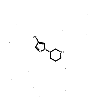 CC(=O)c1cnn(C2CCCNC2)c1